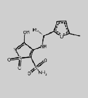 CC[C@@H](NC1=C(S(N)(=O)=O)S(=O)(=O)N=C1O)c1ccc(C)o1